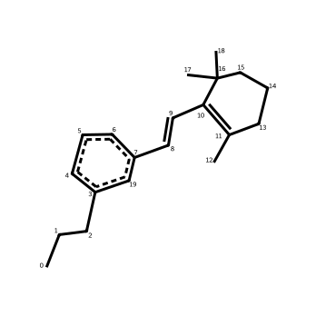 CCCc1cccc(/C=C/C2=C(C)CCCC2(C)C)c1